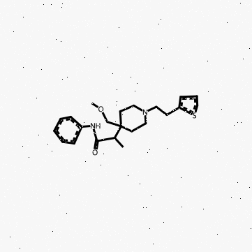 COCC1(C(C)C(=O)Nc2ccccc2)CCN(CCc2cccs2)CC1